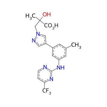 Cc1cc(Nc2nccc(C(F)(F)F)n2)cc(-c2cnn(CC(C)(O)C(=O)O)c2)c1